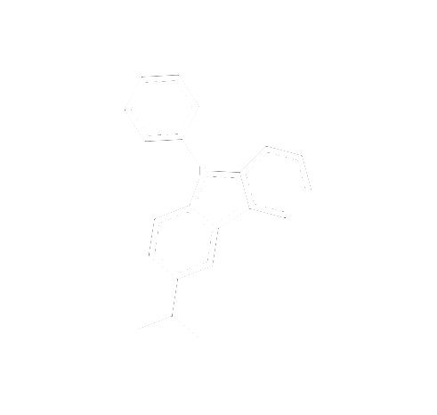 CC(C)c1ccc2c(c1)c1ccccc1p2-c1ccccc1